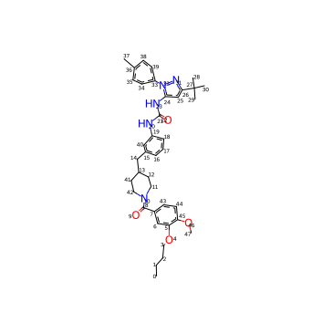 CCCCOc1cc(C(=O)N2CCC(Cc3cccc(NC(=O)Nc4cc(C(C)(C)C)nn4-c4ccc(C)cc4)c3)CC2)ccc1OC